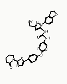 CC(C)Cc1cc(NC(=O)Nc2cnc(Oc3ccc(-c4cnc(N5CCCCC5=O)s4)cc3)nc2)n(-c2ccc3c(c2)CCO3)n1